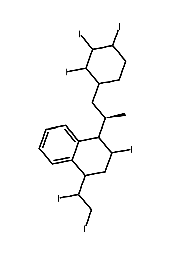 C[C@H](CC1CCC(I)C(I)C1I)C1c2ccccc2C(C(I)CI)CC1I